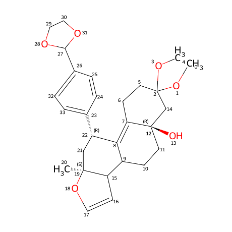 COC1(OC)CCC2=C3C(CC[C@@]2(O)C1)C1C=CO[C@@]1(C)C[C@@H]3c1ccc(C2OCCO2)cc1